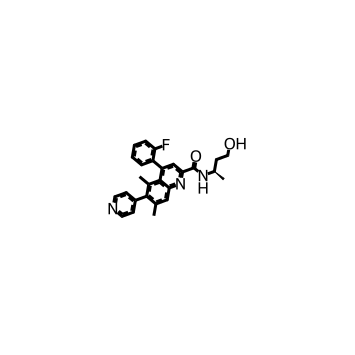 Cc1cc2nc(C(=O)N[C@H](C)CCO)cc(-c3ccccc3F)c2c(C)c1-c1ccncc1